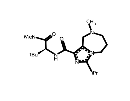 CNC(=O)[C@@H](NC(=O)c1nc(C(C)C)n2c1CN(C)CCC2)C(C)(C)C